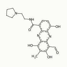 Cc1c(O)c(C=O)c2nc3c(O)ccc(C(=O)NCCN4CCCC4)c3nc2c1O